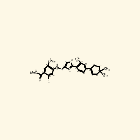 COC(=O)c1cc(OC)c(NSc2csc(-c3ccc(C4=CCC(C)(C)CC4)cc3C(F)(F)F)n2)cc1F